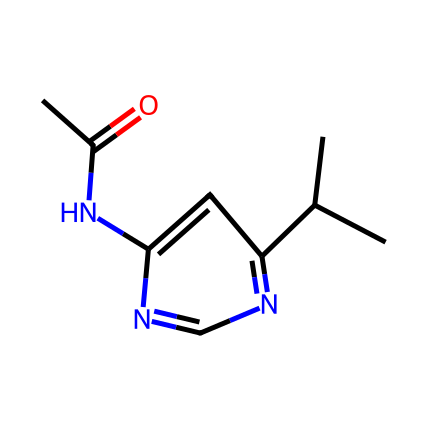 CC(=O)Nc1cc(C(C)C)ncn1